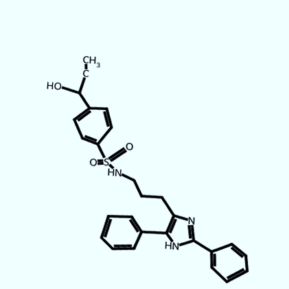 CCC(O)c1ccc(S(=O)(=O)NCCCc2nc(-c3ccccc3)[nH]c2-c2ccccc2)cc1